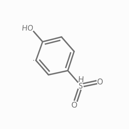 O=[SH](=O)c1c[c]c(O)cc1